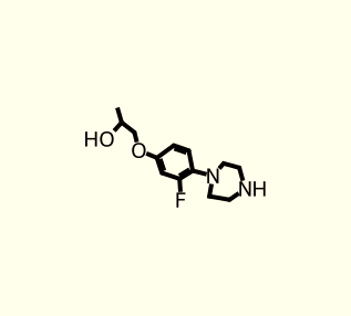 CC(O)COc1ccc(N2CCNCC2)c(F)c1